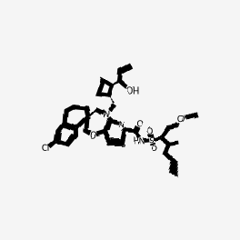 C=CCC(C)C(CCOC)S(=O)(=O)NC(=O)c1ccc2c(n1)N(C[C@@H]1CC[C@H]1C(O)C=C)C[C@@]1(CCCc3cc(Cl)ccc31)CO2